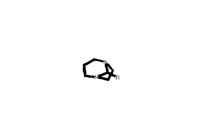 CCC1N2CCCN1CC2